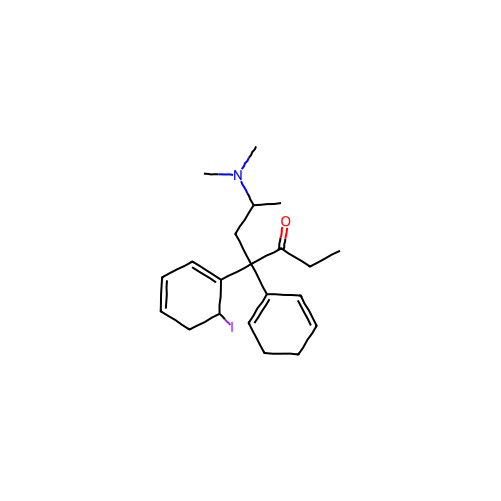 CCC(=O)C(CC(C)N(C)C)(C1=CCCC=C1)C1=CC=CCC1I